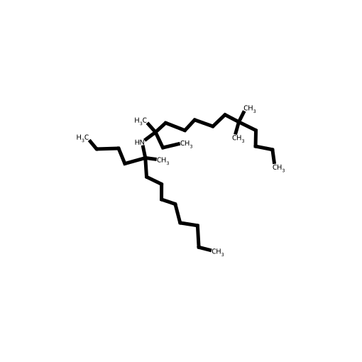 CCCCCCCCC(C)(CCCC)NC(C)(CC)CCCCCC(C)(C)CCCC